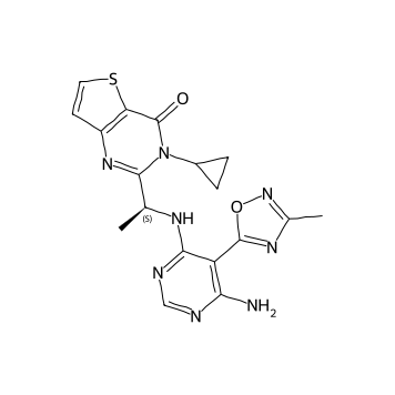 Cc1noc(-c2c(N)ncnc2N[C@@H](C)c2nc3ccsc3c(=O)n2C2CC2)n1